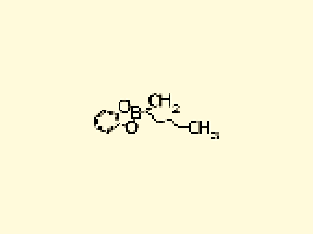 C=C(CCCC)B1Oc2ccccc2O1